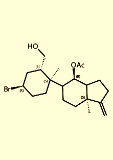 C=C1CCC2[C@H](OC(C)=O)C([C@@]3(C)CC[C@@H](Br)C[C@@H]3CO)CC[C@]12C